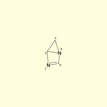 C1=NC2CN12